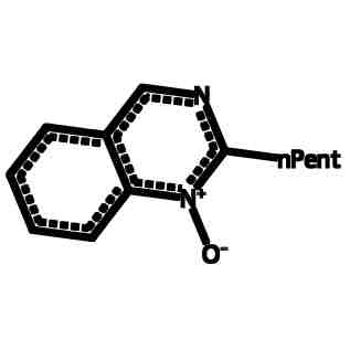 CCCCCc1ncc2ccccc2[n+]1[O-]